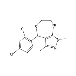 Cc1nn(C)c2c1C(c1ccc(Cl)cc1Cl)SCCN2